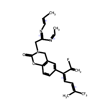 C=C(F)/C(=C\C=C(/C)C(F)(F)F)c1ccc2c(c1)CN(CC(/N=C\C)=N/C=C/C)C(=O)O2